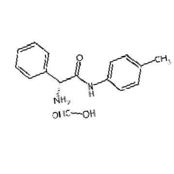 Cc1ccc(NC(=O)[C@H](N)c2ccccc2)cc1.O=CO